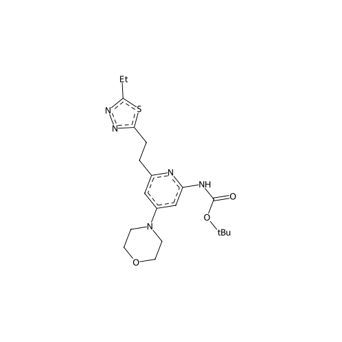 CCc1nnc(CCc2cc(N3CCOCC3)cc(NC(=O)OC(C)(C)C)n2)s1